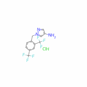 Cl.Nc1cnn(Cc2ccc(C(F)(F)F)cc2C(F)(F)F)c1